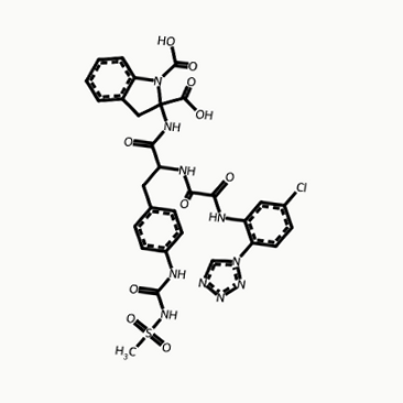 CS(=O)(=O)NC(=O)Nc1ccc(CC(NC(=O)C(=O)Nc2cc(Cl)ccc2-n2cnnn2)C(=O)NC2(C(=O)O)Cc3ccccc3N2C(=O)O)cc1